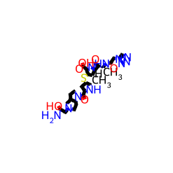 CC(NC(=O)Cn1cnnn1)[C@H]1C(=O)N2C(C(=O)O)C(SC3CNC(C(=O)N4CCC5CN(CC(N)O)CCC54)C3)C(C)[C@H]12